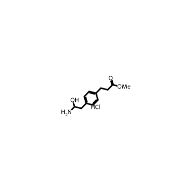 COC(=O)CCc1ccc(CC(N)O)cc1.Cl